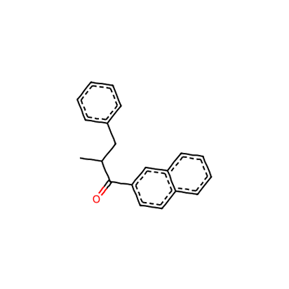 CC(Cc1ccccc1)C(=O)c1ccc2ccccc2c1